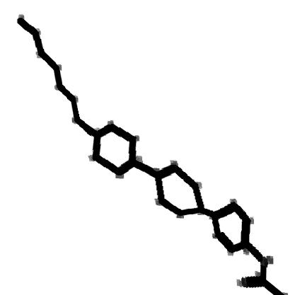 CCCCCCCC1CCC(C2CCC(c3ccc(OC(=O)CCO)cc3)CC2)CC1